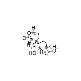 C[C@]1([C@H]2CC[C@]3(C)C(=O)CC[C@H]3[C@@H]2CO)CC[C@H]2C[C@@H]1C(=O)O2